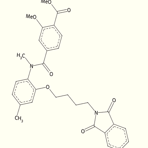 COC(=O)c1ccc(C(=O)N(C)c2ccc(C)cc2OCCCCN2C(=O)c3ccccc3C2=O)cc1OC